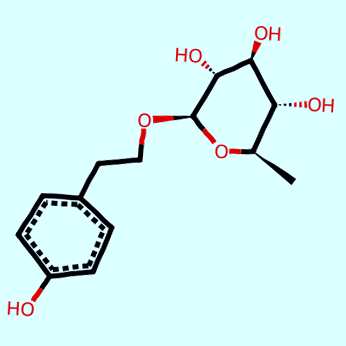 C[C@H]1O[C@@H](OCCc2ccc(O)cc2)[C@H](O)[C@@H](O)[C@@H]1O